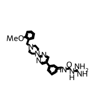 COc1ccccc1CN1CCN(c2ncc(-c3cccc(CNC(=O)NC(=N)N)c3)cn2)CC1